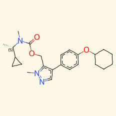 C[C@@H](C1CC1)N(C)C(=O)OCc1c(-c2ccc(OC3CCCCC3)cc2)cnn1C